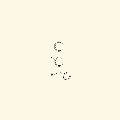 CC(c1ccc(-c2ccccc2)c(F)c1)c1ccon1